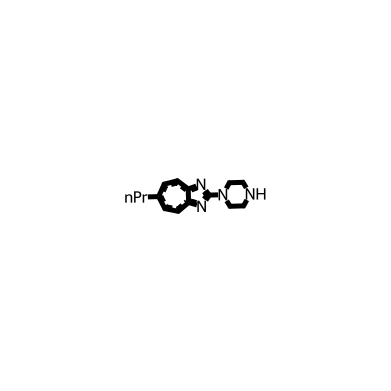 CCCc1ccc2nc(N3CCNCC3)nc-2cc1